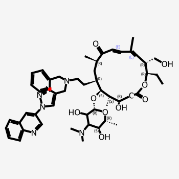 CC[C@H]1OC(=O)C[C@@H](O)[C@H](C)[C@@H](O[C@@H]2O[C@H](C)[C@@H](O)C(N(C)C)C2O)[C@@H](CCN(Cc2ccccc2)Cc2cn(-c3cnc4ccccc4c3)nn2)C[C@@H](C)C(=O)/C=C/C(C)=C/[C@@H]1CO